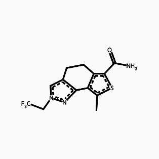 Cc1sc(C(N)=O)c2c1-c1nn(CC(F)(F)F)cc1CC2